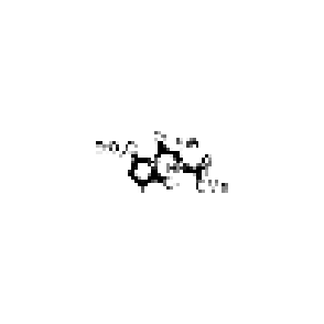 CCOC(=O)C1CCC(=O)N1C(=O)[C@@H](NC(=O)OC)C(C)C